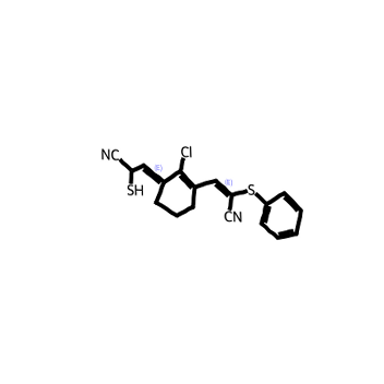 N#C/C(=C\C1=C(Cl)C(=C/C(S)C#N)/CCC1)Sc1ccccc1